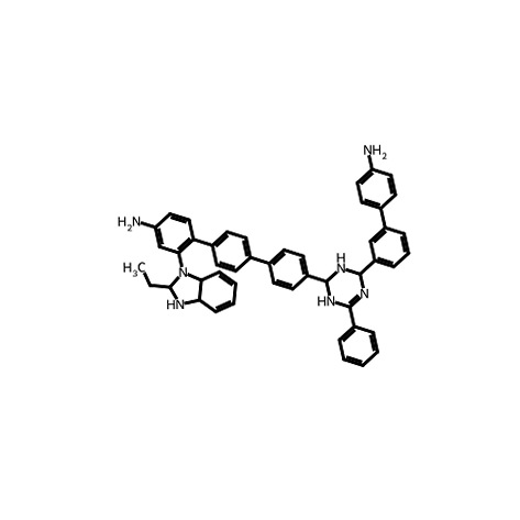 CCC1NC2C=CC=CC2N1c1cc(N)ccc1-c1ccc(-c2ccc(C3NC(c4ccccc4)=NC(c4cccc(-c5ccc(N)cc5)c4)N3)cc2)cc1